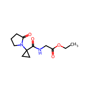 CCOC(=O)CNC(=O)C1(N2CCCC2=O)CC1